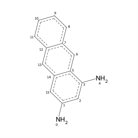 Nc1cc(N)c2cc3ccccc3cc2c1